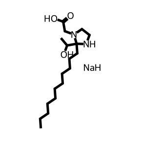 CCCCCCCCCCCC1(C(C)O)NCCN1CC(=O)O.[NaH]